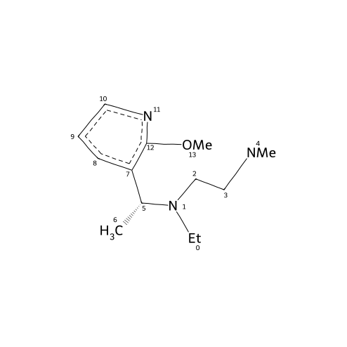 CCN(CCNC)[C@H](C)c1cccnc1OC